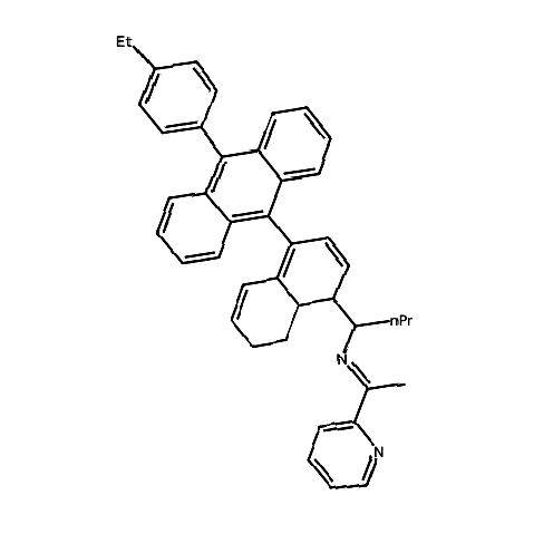 CCCC(/N=C(\C)c1ccccn1)C1C=CC(c2c3ccccc3c(-c3ccc(CC)cc3)c3ccccc23)=C2C=CCCC21